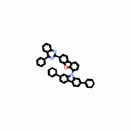 C1=CCCC(c2ccc3c4ccc(C5=CCCC=C5)cc4n(-c4cccc5c4oc4cc(-c6nc(-c7ccccc7)c7ccccc7n6)ccc45)c3c2)=C1